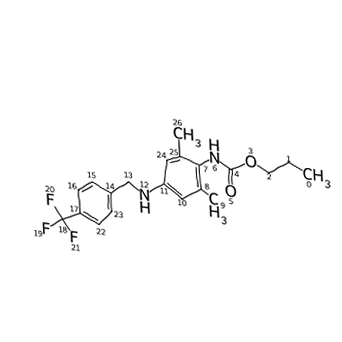 CCCOC(=O)Nc1c(C)cc(NCc2ccc(C(F)(F)F)cc2)cc1C